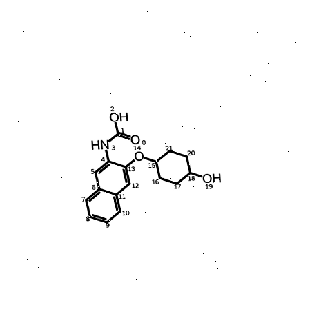 O=C(O)Nc1cc2ccccc2cc1OC1CCC(O)CC1